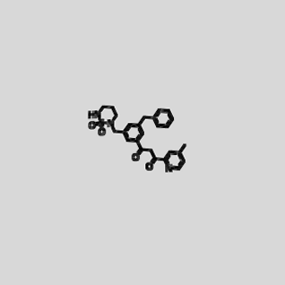 Cc1ccnc(C(=O)CC(=O)c2cc(Cc3ccccc3)cc(CN3CCCNS3(=O)=O)c2)c1